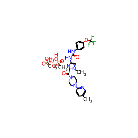 CS(=O)(=O)O.CS(=O)(=O)O.Cc1ccc(N2CCN(C(=O)c3nc(NC(=O)Nc4ccc(OC(F)(F)F)cc4)cn3C)CC2)nc1